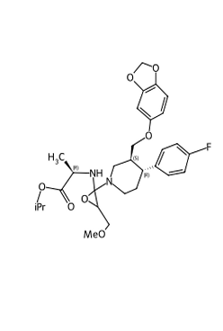 COCC1OC1(N[C@H](C)C(=O)OC(C)C)N1CC[C@@H](c2ccc(F)cc2)[C@H](COc2ccc3c(c2)OCO3)C1